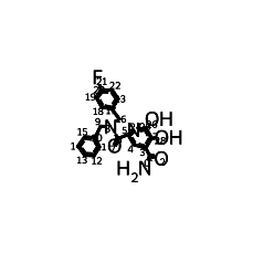 NC(=O)c1cc(C(=O)N(Cc2ccccc2)Cc2ccc(F)cc2)nc(O)c1O